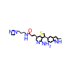 Cc1cc2cc(-c3csc4c(C=CC(=O)NCCCn5ccnc5)cnc(N)c34)ccc2[nH]1